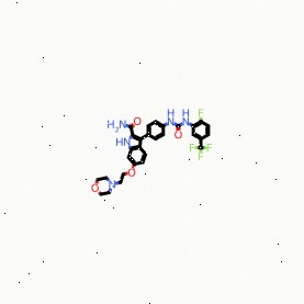 NC(=O)c1[nH]c2cc(OCCN3CCOCC3)ccc2c1-c1ccc(NC(=O)Nc2cc(C(F)(F)F)ccc2F)cc1